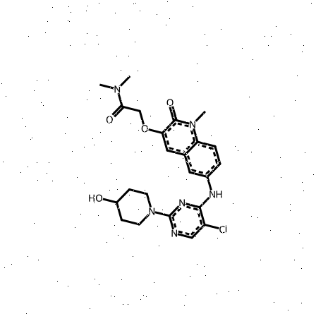 CN(C)C(=O)COc1cc2cc(Nc3nc(N4CCC(O)CC4)ncc3Cl)ccc2n(C)c1=O